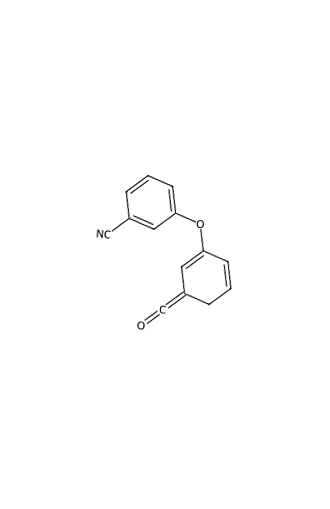 N#Cc1cccc(OC2=CC(=C=O)CC=C2)c1